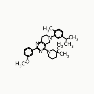 COc1cccc(-c2nc3c(c(N4CCCC(C)(C)C4)n2)CN(c2cc(C(C)C)ccc2C)CC3)c1